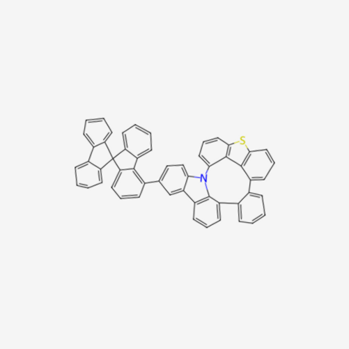 c1ccc2c(c1)-c1ccccc1C21c2ccccc2-c2c(-c3ccc4c(c3)c3cccc5c6ccccc6c6cccc7sc8cccc(c8c76)n4c53)cccc21